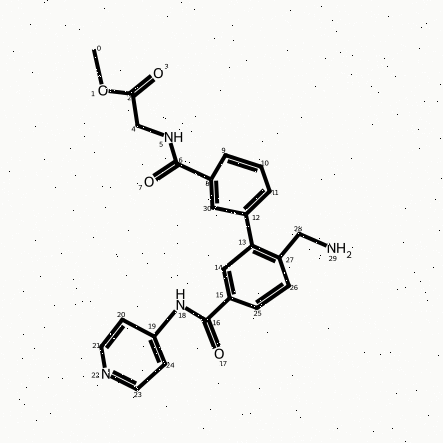 COC(=O)CNC(=O)c1cccc(-c2cc(C(=O)Nc3ccncc3)ccc2CN)c1